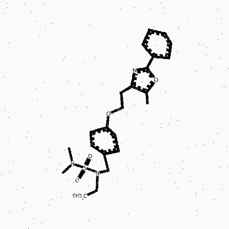 CCOC(=O)CN(Cc1ccc(OCCc2nc(-c3ccccc3)oc2C)cc1)S(=O)(=O)N(C)C